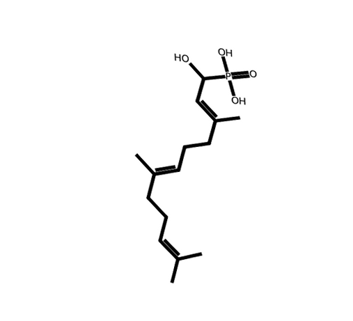 CC(C)=CCCC(C)=CCCC(C)=CC(O)P(=O)(O)O